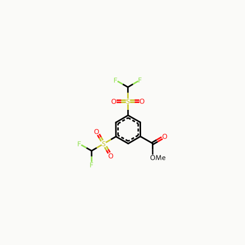 COC(=O)c1cc(S(=O)(=O)C(F)F)cc(S(=O)(=O)C(F)F)c1